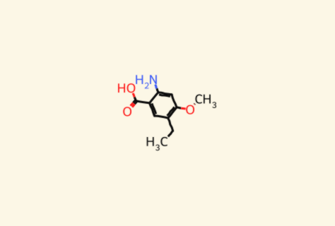 CCc1cc(C(=O)O)c(N)cc1OC